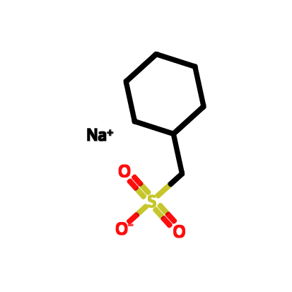 O=S(=O)([O-])CC1CCCCC1.[Na+]